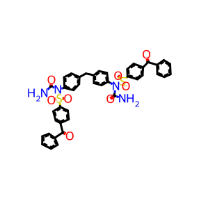 NC(=O)N(c1ccc(Cc2ccc(N(C(N)=O)S(=O)(=O)c3ccc(C(=O)c4ccccc4)cc3)cc2)cc1)S(=O)(=O)c1ccc(C(=O)c2ccccc2)cc1